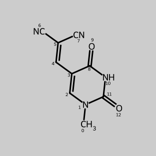 Cn1cc(C=C(C#N)C#N)c(=O)[nH]c1=O